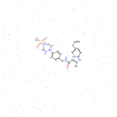 CCc1nc2ccc(COC)cn2c1C(=O)NCc1ccc(N2CCN(S(=O)(=O)C(F)(F)F)C=N2)cc1